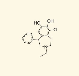 CCN1CCc2c(cc(O)c(O)c2Cl)C(c2ccccc2)C1